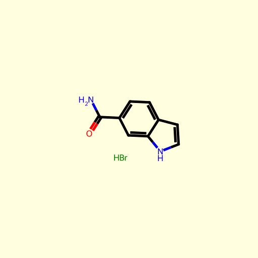 Br.NC(=O)c1ccc2cc[nH]c2c1